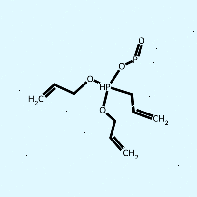 C=CCO[PH](CC=C)(OCC=C)OP=O